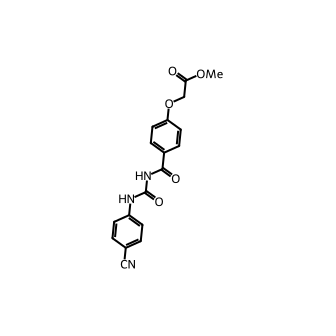 COC(=O)COc1ccc(C(=O)NC(=O)Nc2ccc(C#N)cc2)cc1